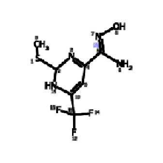 CSC1N=C(/C(N)=N/O)C=C(C(F)(F)F)N1